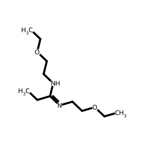 CCOCCN=C(CC)NCCOCC